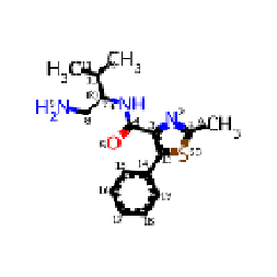 Cc1nc(C(=O)N[C@@H](CN)C(C)C)c(-c2ccccc2)s1